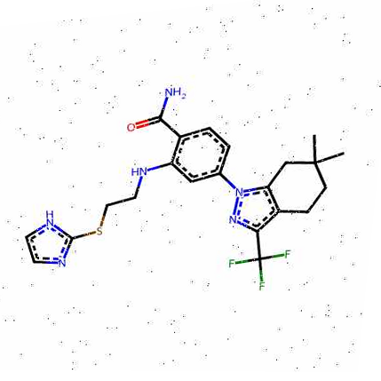 CC1(C)CCc2c(C(F)(F)F)nn(-c3ccc(C(N)=O)c(NCCSc4ncc[nH]4)c3)c2C1